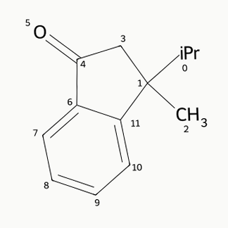 CC(C)C1(C)CC(=O)c2ccccc21